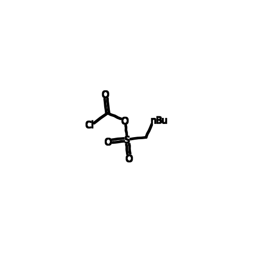 CCCCCS(=O)(=O)OC(=O)Cl